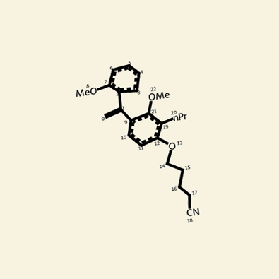 C=C(c1ccccc1OC)c1ccc(OCCCCC#N)c(CCC)c1OC